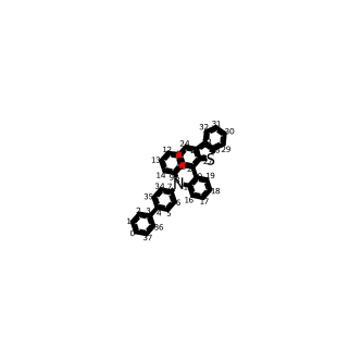 c1ccc(-c2ccc(N(c3ccccc3)c3ccccc3-c3cccc4c3sc3ccccc34)cc2)cc1